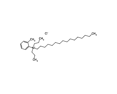 CCCCCCCCCCCCCCCC[N+](CCC)(CCC)c1ccccc1C.[Cl-]